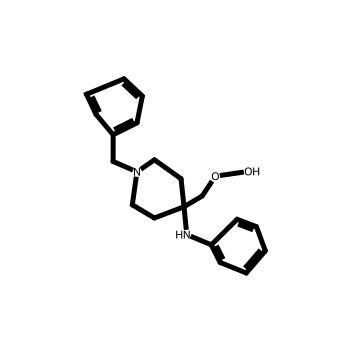 OOCC1(Nc2ccccc2)CCN(Cc2ccccc2)CC1